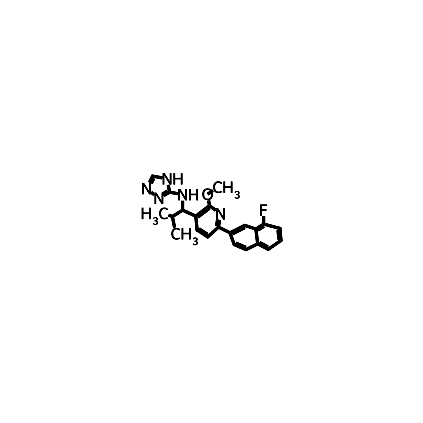 COc1nc(-c2ccc3cccc(F)c3c2)ccc1C(Nc1nnc[nH]1)C(C)C